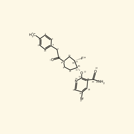 Cc1ccc(CC(=O)N2CC[C@@H](Oc3ncc(Br)cc3C(N)=O)[C@@H](F)C2)cc1